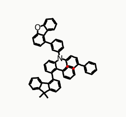 CC1(C)c2ccccc2-c2c(-c3cccc(N(c4ccc(-c5ccccc5)cc4)c4cccc(-c5cccc6oc7ccccc7c56)c4)c3-c3ccccc3)cccc21